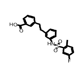 Cc1ccc(F)cc1S(=O)(=O)Nc1cccc(CCc2cccc(C(=O)O)c2)c1